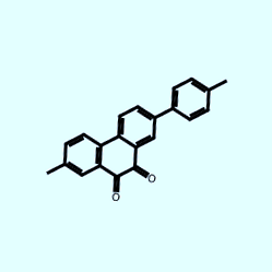 Cc1ccc(-c2ccc3c(c2)C(=O)C(=O)c2cc(C)ccc2-3)cc1